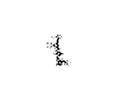 CC(C)Cc1ncc(F)c2nc(Cn3cc(F)cc(NC(=O)C(CC/C=C/C(=O)N(C)C)OC(=O)N(C)C)c3=O)[nH]c12